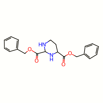 O=C(OCc1ccccc1)C1CCNC(C(=O)OCc2ccccc2)N1